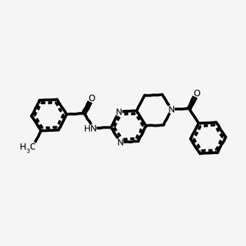 Cc1cccc(C(=O)Nc2ncc3c(n2)CCN(C(=O)c2ccccc2)C3)c1